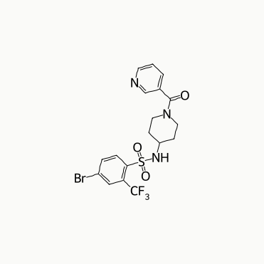 O=C(c1cccnc1)N1CCC(NS(=O)(=O)c2ccc(Br)cc2C(F)(F)F)CC1